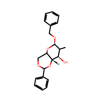 CC1[C@H](OCc2ccccc2)OC2COC(c3ccccc3)O[C@H]2[C@@H]1O